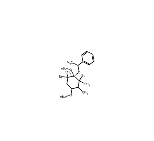 CCCCOC1CC(C)(CC)[N+](OCCCC)(OC(C)c2ccccc2)C(C)(CC)C1C